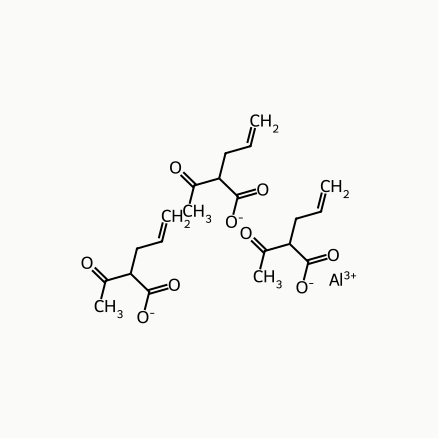 C=CCC(C(C)=O)C(=O)[O-].C=CCC(C(C)=O)C(=O)[O-].C=CCC(C(C)=O)C(=O)[O-].[Al+3]